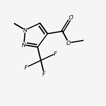 COC(=O)c1cn(C)nc1C(F)(F)F